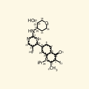 Cc1c(I)c(=O)c2ccc(-c3nc(N[C@@H]4CCOC[C@H]4O)ncc3F)cc2n1C(C)C